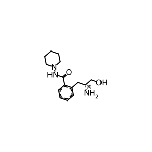 N[C@@H](CO)Cc1ccccc1C(=O)NN1CCCCC1